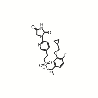 C[C@@H](NS(=O)(=O)CCc1ccc(N2CC(=O)NC2=O)nc1)c1ccc(F)c(OCC2CC2)c1